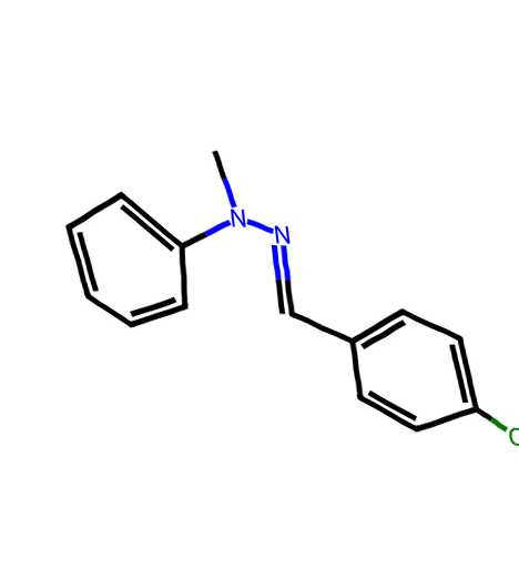 CN(/N=C/c1ccc(Cl)cc1)c1ccccc1